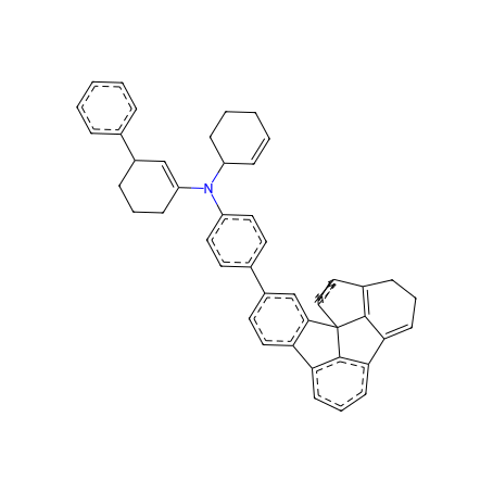 C1=CC(N(C2=CC(c3ccccc3)CCC2)c2ccc(-c3ccc4c(c3)C35C6=C(CCC=C6c6cccc-4c63)c3ccccc35)cc2)CCC1